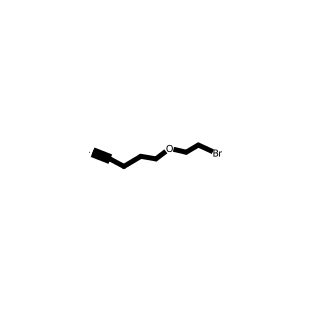 [C]#CCCCOCCBr